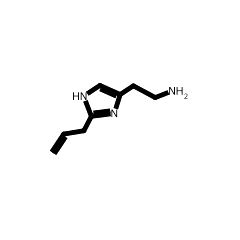 C=CCc1nc(CCN)c[nH]1